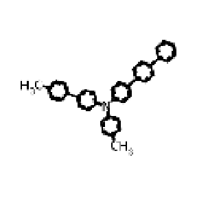 Cc1ccc(-c2ccc(N(c3ccc(C)cc3)c3ccc(-c4ccc(-c5ccccc5)cc4)cc3)cc2)cc1